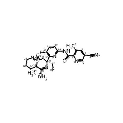 Cc1cc(C#N)cnc1C(=O)Nc1ccc(F)c([C@]2(CF)CS3(=O)=NCCC[C@]3(C)C(N)=N2)n1